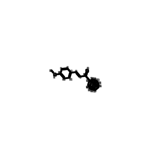 COc1ccc(C=CC(=O)[C]23[CH]4[CH]5[CH]6[CH]2[Fe]56432789[CH]3[CH]2[CH]7[CH]8[CH]39)cc1